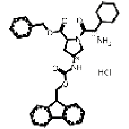 Cl.N[C@H](C(=O)N1C[C@@H](NC(=O)OCC2c3ccccc3-c3ccccc32)CC1C(=O)OCc1ccccc1)C1CCCCC1